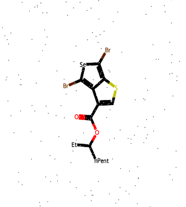 CCCCCC(CC)OC(=O)c1csc2c(Br)[se]c(Br)c12